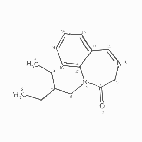 CCC(CC)CN1C(=O)CN=Cc2ccccc21